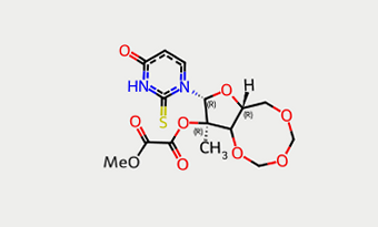 COC(=O)C(=O)O[C@]1(C)C2OCOCOC[C@H]2O[C@H]1n1ccc(=O)[nH]c1=S